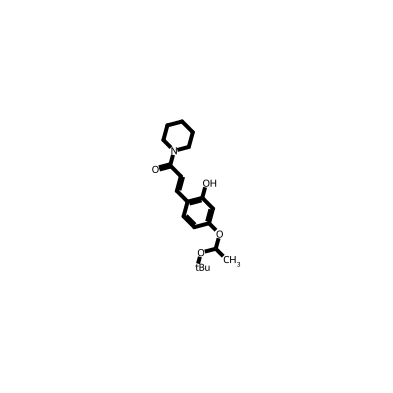 CC(Oc1ccc(/C=C/C(=O)N2CCCCC2)c(O)c1)OC(C)(C)C